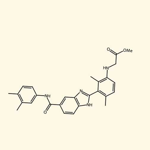 COC(=O)CNc1ccc(C)c(-c2nc3cc(C(=O)Nc4ccc(C)c(C)c4)ccc3[nH]2)c1C